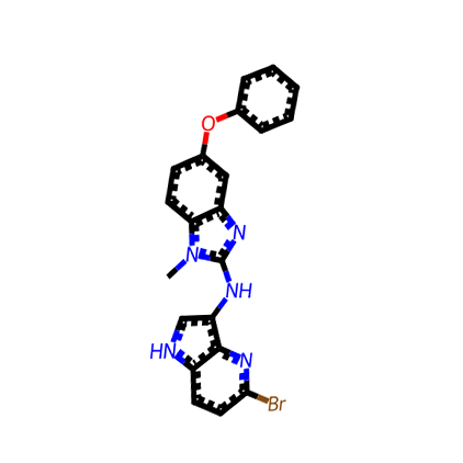 Cn1c(Nc2c[nH]c3ccc(Br)nc23)nc2cc(Oc3ccccc3)ccc21